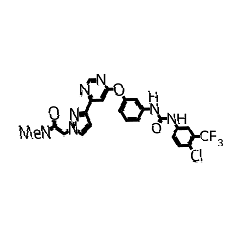 CNC(=O)Cn1ccc(-c2cc(Oc3cccc(NC(=O)Nc4ccc(Cl)c(C(F)(F)F)c4)c3)ncn2)n1